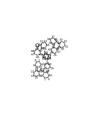 c1ccc([Si](c2ccccc2)(c2ccccc2)c2cccc(-c3nc(-c4ccc5c6ccccc6c6ccccc6c5c4)nc(-c4cccc5oc6ccccc6c45)n3)c2)cc1